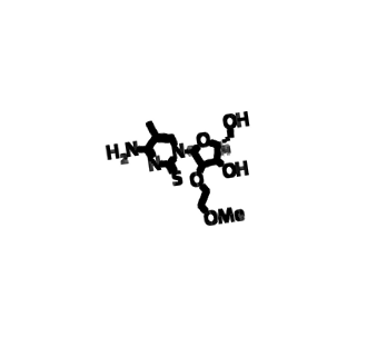 COCCOC1C(O)[C@@H](CO)O[C@H]1n1cc(C)c(N)nc1=S